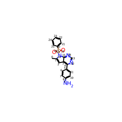 Cc1cc2c(-c3ccc(N)cc3)ncnc2n1S(=O)(=O)c1ccccc1